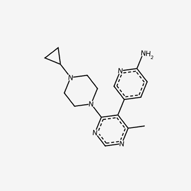 Cc1ncnc(N2CCN(C3CC3)CC2)c1-c1ccc(N)nc1